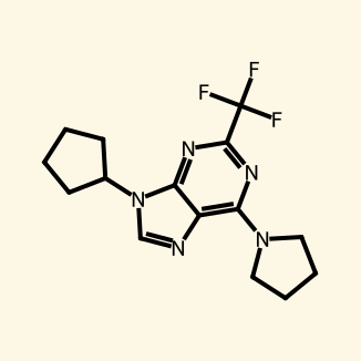 FC(F)(F)c1nc(N2CCCC2)c2ncn(C3CCCC3)c2n1